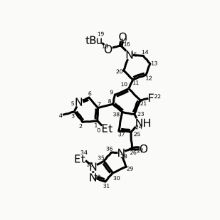 CCc1cc(C)ncc1-c1cc(C2=CCCN(C(=O)OC(C)(C)C)C2)c(F)c2[nH]c(C(=O)N3Cc4cnn(CC)c4C3)cc12